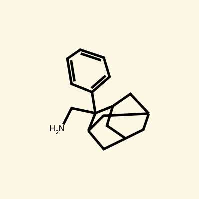 NCC1(c2ccccc2)C2CC3CC(C2)CC1C3